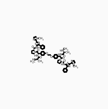 CN[C@@H](C)C(=O)N[C@H](C(=O)N1CCC[C@H]1C(=O)Nc1sc(-c2nccn2C)nc1-c1ccccc1)c1ccc(OCCOc2ccc([C@H](NC(=O)[C@H](C)NC)C(=O)N3CCC[C@H]3C(=O)Nc3sc(-c4nccn4C)nc3-c3ccccc3)cc2)cc1